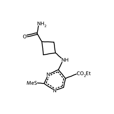 CCOC(=O)c1cnc(SC)nc1NC1CC(C(N)=O)C1